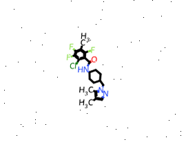 Cc1cnn(CC2CCC(NC(=O)c3c(F)c(C)c(F)c(F)c3Cl)CC2)c1C